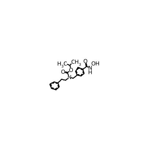 CC(C)OC(=O)N(CCc1ccccc1)Cc1ccc(C(=O)NO)cc1